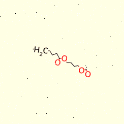 [CH2]CCCC(=O)OCCCCO[C]=O